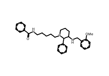 COc1ccccc1CNC1CCCN(CCCCCNC(=O)c2ccccc2)C1c1ccccc1